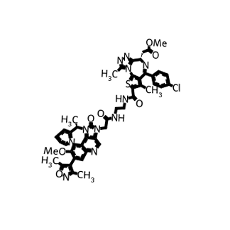 COC(=O)C[C@@H]1N=C(c2ccc(Cl)cc2)c2c(sc(C(=O)NCCNC(=O)Cn3c(=O)n([C@H](C)c4ccccn4)c4c5cc(OC)c(-c6c(C)noc6C)cc5ncc43)c2C)-n2c(C)nnc21